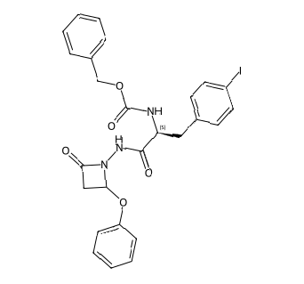 O=C(N[C@@H](Cc1ccc(I)cc1)C(=O)NN1C(=O)CC1Oc1ccccc1)OCc1ccccc1